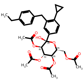 CCc1ccc(Cc2cc([C@]3(O)O[C@H](COC(C)=O)[C@@H](OC(C)=O)[C@H](OC(C)=O)[C@H]3OC(C)=O)ccc2C2CC2)cc1